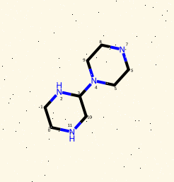 [CH]1CNC(N2CC[N]CC2)CN1